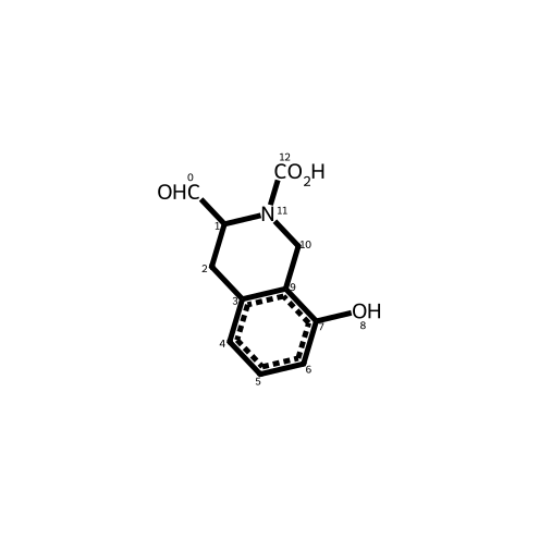 O=CC1Cc2cccc(O)c2CN1C(=O)O